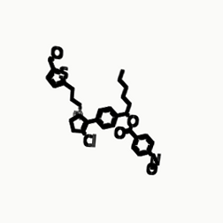 CCCCCC(OC(=O)c1ccc(N=O)cc1)c1ccc(C2=C(Cl)CC[C@@H]2CCCc2ccc(C=O)s2)cc1